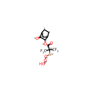 O=C1C2CCC(C2)C1OC(=O)C(SOOO)(C(F)(F)F)C(F)(F)F